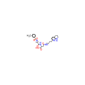 Cc1cccc(S(=O)(=O)N2CC(C(=O)NC(CC(=O)NCCCCc3ccc4c(n3)NCCC4)C(=O)O)C2)c1